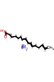 CCCCCCCCCCCCCCCC(=O)O.N.N